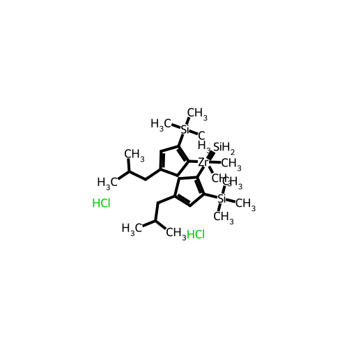 CC(C)CC1=CC([Si](C)(C)C)=[C]([Zr]([CH3])([CH3])(=[SiH2])[C]2=C([Si](C)(C)C)C=C(CC(C)C)C2)C1.Cl.Cl